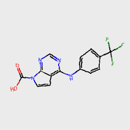 O=C(O)n1ccc2c(Nc3ccc(C(F)(F)F)cc3)ncnc21